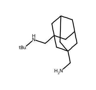 CC(C)(C)NCC12CC3CC(CC(CN)(C3)C1)C2